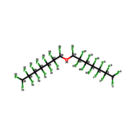 FC(F)C(F)(F)C(F)(F)C(F)(F)C(F)(F)C(F)(F)C(F)OC(F)C(F)(F)C(F)(F)C(F)(F)C(F)(F)C(F)(F)C(F)F